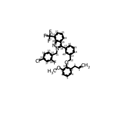 C=CCc1cccc(OC)c1OCc1cccc(-c2c3cccc(C(F)(F)F)c3nn2Cc2ccc(Cl)cc2F)c1